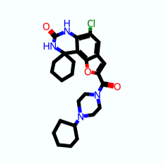 O=C1Nc2c(Cl)cc3cc(C(=O)N4CCN(C5CCCCC5)CC4)oc3c2C2(CCCCC2)N1